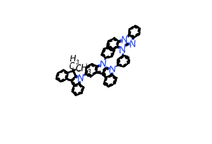 CC1(C)c2ccccc2-c2c1n(-c1ccc3c(c1)c1c4ccccc4n(-c4cccc(-n5c6ccccc6n6c7ccccc7nc56)c4)c1n3-c1ccccc1)c1ccccc21